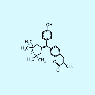 CC(=Cc1ccc(C(=C2CC(C)(C)OC(C)(C)C2)c2ccc(O)cc2)cc1)C(=O)O